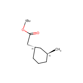 C[C@H]1CCC[C@H](CC(=O)OC(C)(C)C)C1